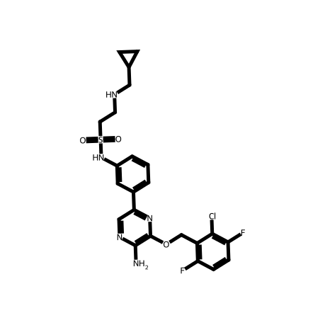 Nc1ncc(-c2cccc(NS(=O)(=O)CCNCC3CC3)c2)nc1OCc1c(F)ccc(F)c1Cl